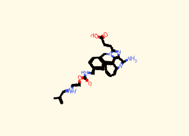 C=C(C)CNCCOC(=O)NCc1ccc(Cn2c(CCC(=O)O)nc3c(N)nc4ccccc4c32)cc1